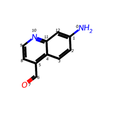 Nc1ccc2c(C=O)ccnc2c1